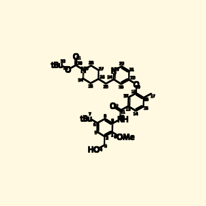 COc1c(CO)cc(C(C)(C)C)cc1NC(=O)c1ccc(C)c(Oc2ccnc(CC3CCN(C(=O)OC(C)(C)C)CC3)c2)c1